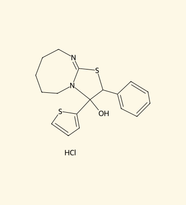 Cl.OC1(c2cccs2)C(c2ccccc2)S/C2=N/CCCCCN21